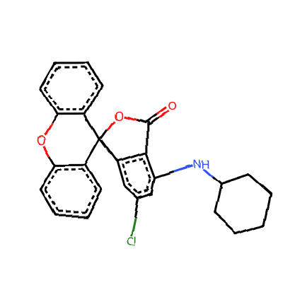 O=C1OC2(c3ccccc3Oc3ccccc32)c2cc(Cl)cc(NC3CCCCC3)c21